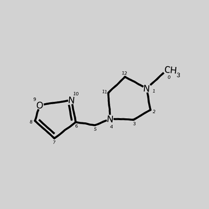 CN1CCN(Cc2ccon2)CC1